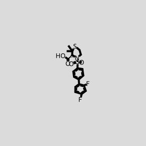 CC1(C)SCCN(S(=O)(=O)c2ccc(-c3ccc(F)cc3F)cc2)[C@H]1C(=O)O